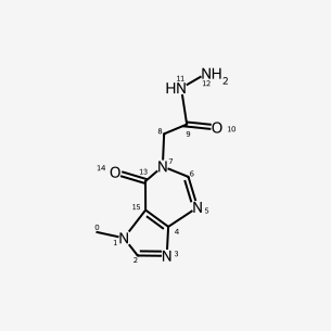 Cn1cnc2ncn(CC(=O)NN)c(=O)c21